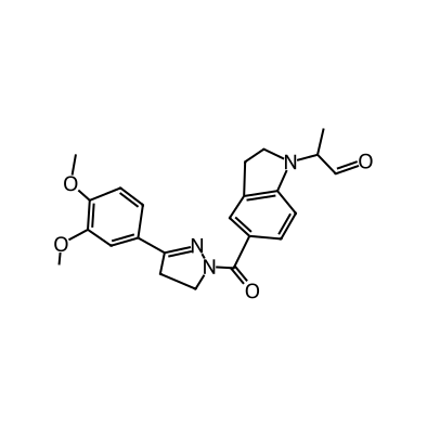 COc1ccc(C2=NN(C(=O)c3ccc4c(c3)CCN4C(C)C=O)CC2)cc1OC